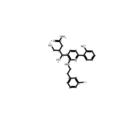 N#Cc1ccccc1-c1ccc(C(O)C(CO)CC(N)=O)c(NCCc2cccc(F)c2)n1